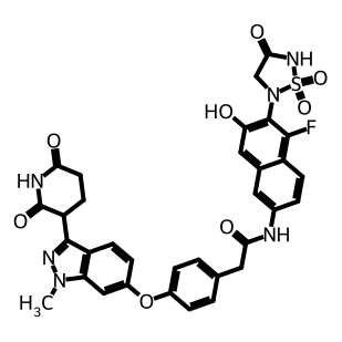 Cn1nc(C2CCC(=O)NC2=O)c2ccc(Oc3ccc(CC(=O)Nc4ccc5c(F)c(N6CC(=O)NS6(=O)=O)c(O)cc5c4)cc3)cc21